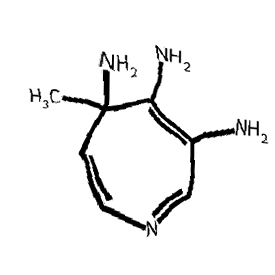 CC1(N)C=CN=CC(N)=C1N